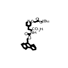 CC(C)(C)OC(=O)COc1cc(C[C@H](NC(=O)OCC2c3ccccc3-c3ccccc32)C(=O)O)ccn1